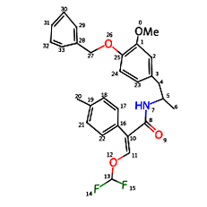 COc1cc(CC(C)NC(=O)C(=COC(F)F)c2ccc(C)cc2)ccc1OCc1ccccc1